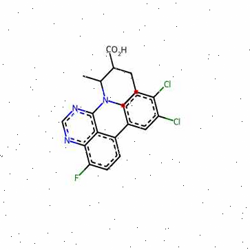 CC1C(C(=O)O)CCCN1c1ncnc2c(F)ccc(-c3ccc(Cl)c(Cl)c3)c12